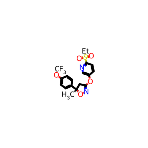 CCS(=O)(=O)c1ccc(OC2=NO[C@](C)(c3ccc(OC(F)(F)F)cc3)C2)cn1